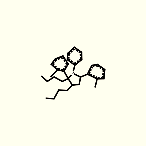 CCCCC1CC(c2ccccc2C)P(c2ccccc2)C1(CCCC)c1ccccc1C